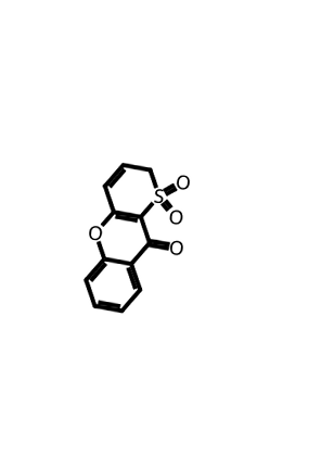 O=c1c2c(oc3ccccc13)C=CCS2(=O)=O